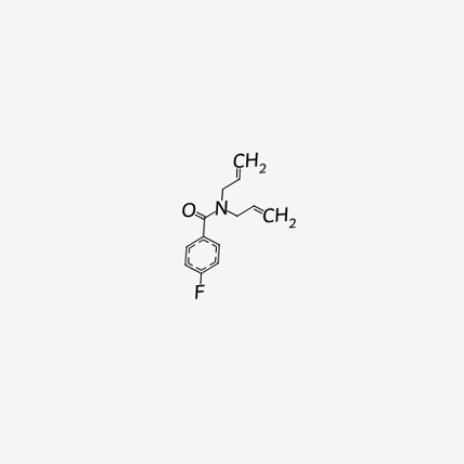 C=CCN(CC=C)C(=O)c1ccc(F)cc1